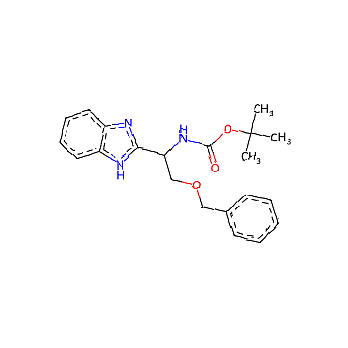 CC(C)(C)OC(=O)NC(COCc1ccccc1)c1nc2ccccc2[nH]1